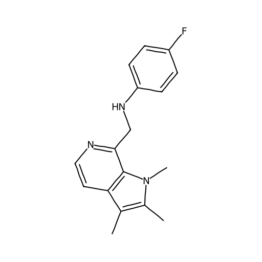 Cc1c(C)n(C)c2c(CNc3ccc(F)cc3)nccc12